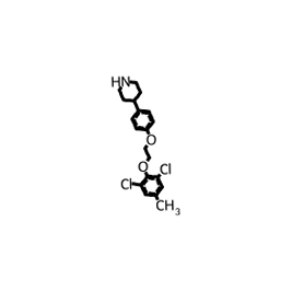 Cc1cc(Cl)c(OCCOc2ccc(C3CCNCC3)cc2)c(Cl)c1